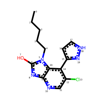 CCCCCn1c(O)nc2ncc(Cl)c(-c3cc[nH]n3)c21